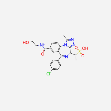 Cc1nnc2n1-c1ccc(C(=O)NCCO)cc1C(c1ccc(Cl)cc1)=NC2[C@@H](C)S(=O)(=O)O